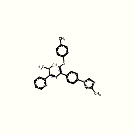 Cc1ccc(S/C=C(/N=C(/c2ccccn2)N(C)C)c2ccc(-n3cnc(C)n3)cc2)cc1